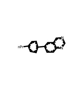 CCCc1ccc(-c2ccc3ncncc3c2)cc1